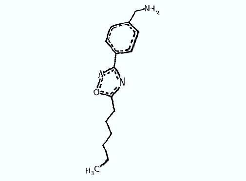 CCCCCCc1nc(-c2ccc(CN)cc2)no1